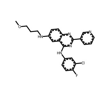 COCCCNc1ccc2nc(-c3cccnc3)nc(Nc3ccc(F)c(Cl)c3)c2c1